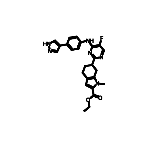 CCOC(=O)c1cc2c(n1C)CC(c1ncc(F)c(Nc3ccc(-c4cn[nH]c4)cc3)n1)CC2